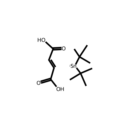 C[C](C)(C)[Sn][C](C)(C)C.O=C(O)C=CC(=O)O